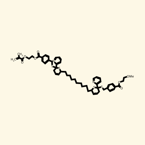 C=C(C)C(=O)OCCOC(=O)c1ccc(CSC2(c3ccccn3)CC=CC(CCCCCCCCCCC3C=CCC(SCc4ccc(C(=O)OCCOC)cc4)(c4ccccn4)S3)S2)cc1